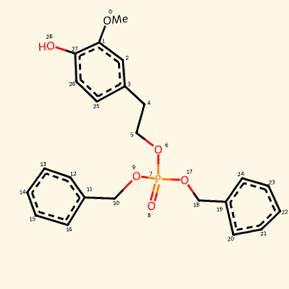 COc1cc(CCOP(=O)(OCc2ccccc2)OCc2ccccc2)ccc1O